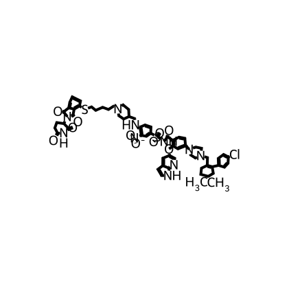 CC1(C)CCC(CN2CCN(c3ccc(C(=O)NS(=O)(=O)c4ccc(NCC5CCN(CCCCCSc6cccc7c6C(=O)N(C6CCC(=O)NC6=O)C7=O)CC5)c([N+](=O)[O-])c4)c(Oc4cnc5[nH]ccc5c4)c3)CC2)=C(c2ccc(Cl)cc2)C1